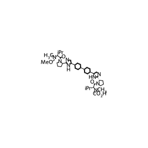 COCN(C)[C@H](C(=O)N1CCCC1c1ncc(-c2ccc(-c3ccc(-c4cnc([C@@H]5CCCN5C(=O)[C@H](C(C)C)N(C)C(=O)O)[nH]4)cc3)cc2)[nH]1)C(C)C